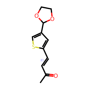 CC(=O)/C=C/c1cc(C2OCCO2)cs1